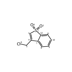 O=S1(=O)C=C(CCl)c2ccccc21